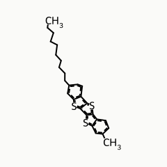 CCCCCCCCCCc1ccc2c(c1)sc1c2sc2c3ccc(C)cc3sc21